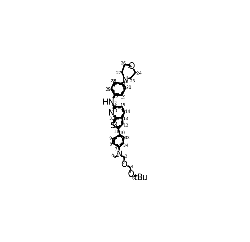 CN(COCOC(C)(C)C)c1ccc(-c2cc3ccc(Nc4ccc(N5CCOCC5)cc4)nc3s2)cc1